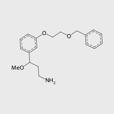 COC(CCN)c1cccc(OCCOCc2ccccc2)c1